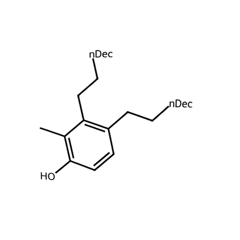 CCCCCCCCCCCCc1ccc(O)c(C)c1CCCCCCCCCCCC